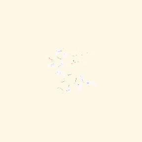 Nc1nc2c(ncn2[C@@H]2O[C@H](CO)[C@@H](O)[C@H]2O)c(=O)[nH]1.Nc1nc2ccc3cccnc3c2[nH]1